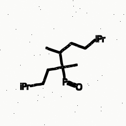 CC(C)CCC(C)C(C)(CCC(C)C)P=O